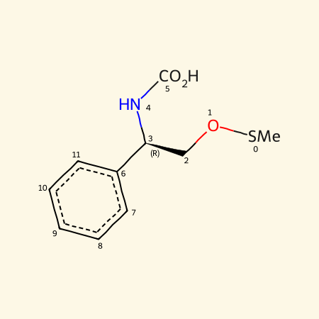 CSOC[C@H](NC(=O)O)c1ccccc1